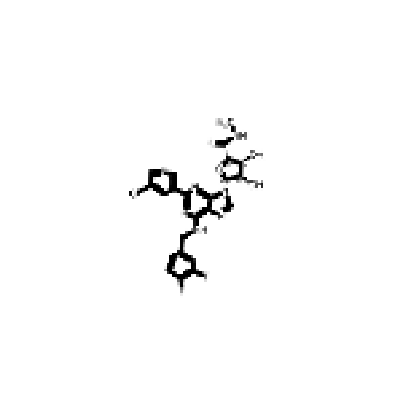 CNC(=O)[C@H]1O[C@@H](n2cnc3c(NCc4ccc(F)c(F)c4)nc(-c4cncc(Cl)c4)nc32)[C@H](O)[C@@H]1O